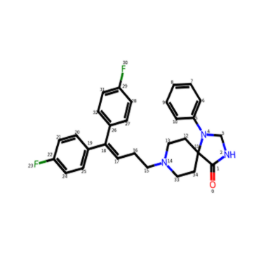 O=C1NCN(c2ccccc2)C12CCN(CCC=C(c1ccc(F)cc1)c1ccc(F)cc1)CC2